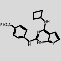 CCOC(=O)c1ccc(Nc2nc(NC3CCC3)c3ccnc-3[nH]2)cc1